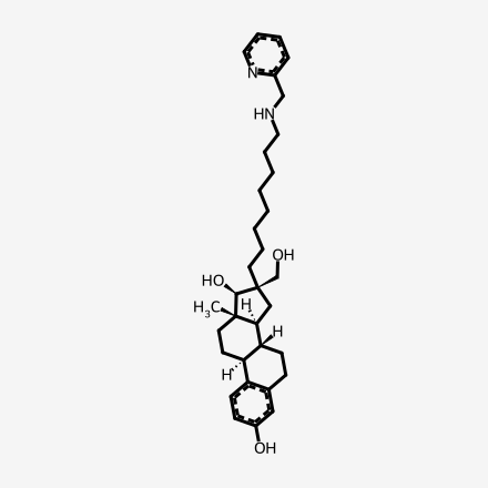 C[C@]12CC[C@@H]3c4ccc(O)cc4CC[C@H]3[C@@H]1C[C@@](CO)(CCCCCCCCNCc1ccccn1)[C@@H]2O